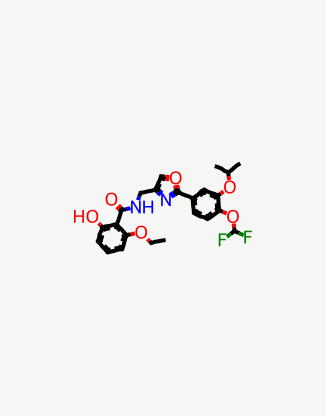 CCOc1cccc(O)c1C(=O)NCc1coc(-c2ccc(OC(F)F)c(OC(C)C)c2)n1